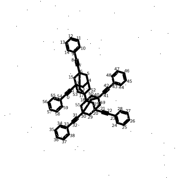 C(#CC12CC3CC(C#Cc4ccccc4)(C1)CC(C14CC5(C#Cc6ccccc6)CC(C#Cc6ccccc6)(CC(C#Cc6ccccc6)(C5)C1)C4)(C3)C2)c1ccccc1